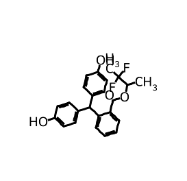 CC(OC(=O)c1ccccc1C(c1ccc(O)cc1)c1ccc(O)cc1)C(C)(F)F